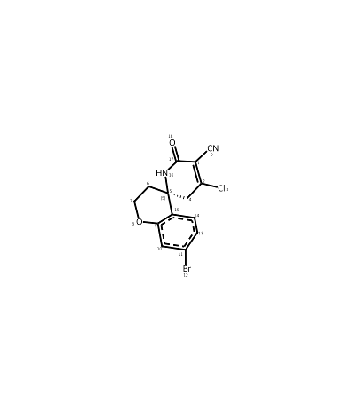 N#CC1=C(Cl)C[C@]2(CCOc3cc(Br)ccc32)NC1=O